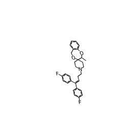 CC1Oc2ccccc2COC12CCN(CCC=C(c1ccc(F)cc1)c1ccc(F)cc1)CC2